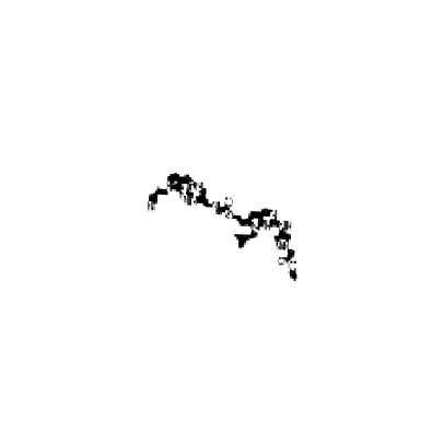 CCOC(=O)Cn1cc(Nc2ncc3cc(CCOC(=O)CN/C=C(\C=N)Nc4ncc5ccn(CCC#N)c5n4)n(CC4CC4)c3n2)cn1